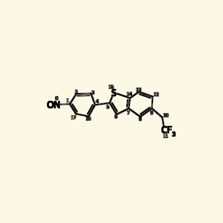 O=Nc1ccc(-c2cc3cc(CC(F)(F)F)ccc3s2)cc1